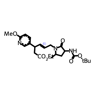 CCOC(=O)CC(/C=C/CN1C(=O)C(NC(=O)OC(C)(C)C)CC1C)c1ccc(OC)nc1